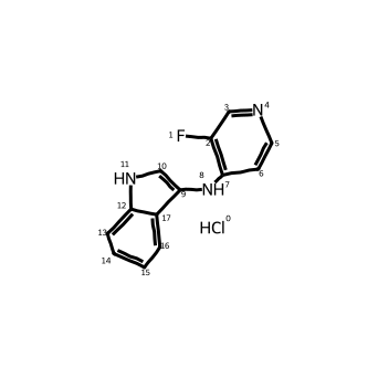 Cl.Fc1cnccc1Nc1c[nH]c2ccccc12